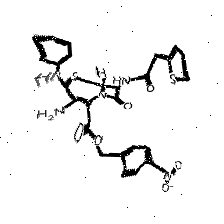 NC1=C(C(=O)OCc2ccc([N+](=O)[O-])cc2)N2C(=O)[C@@H](NC(=O)Cc3cccs3)[C@H]2SC1Nc1ccccc1